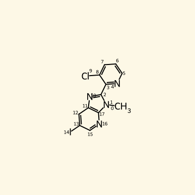 Cn1c(-c2ncccc2Cl)nc2cc(I)cnc21